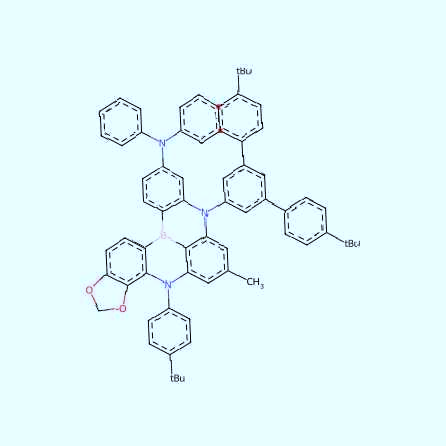 Cc1cc2c3c(c1)N(c1ccc(C(C)(C)C)cc1)c1c(ccc4c1OCO4)B3c1ccc(N(c3ccccc3)c3ccccc3)cc1N2c1cc(-c2ccc(C(C)(C)C)cc2)cc(-c2ccc(C(C)(C)C)cc2)c1